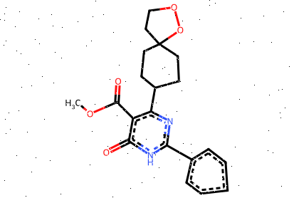 COC(=O)c1c(C2CCC3(CCOO3)CC2)nc(-c2ccccc2)[nH]c1=O